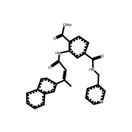 COC(=O)c1ccc(C(=O)NCc2cccnc2)cc1NC(=O)/C=C(/C)c1ccc2ccccc2c1